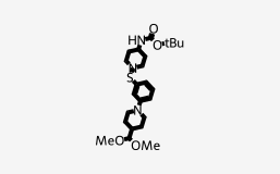 COC(OC)C1CCN(c2cccc(SN3CCC(NC(=O)OC(C)(C)C)CC3)c2)CC1